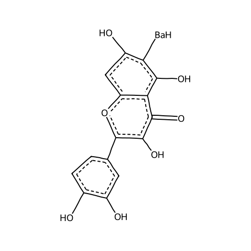 O=c1c(O)c(-c2ccc(O)c(O)c2)oc2cc(O)[c]([BaH])c(O)c12